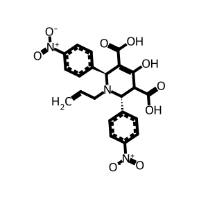 C=CCN1[C@@H](c2ccc([N+](=O)[O-])cc2)C(C(=O)O)=C(O)C(C(=O)O)[C@@H]1c1ccc([N+](=O)[O-])cc1